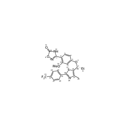 CC[C@@H](Oc1ccc(-c2noc(=O)[nH]2)c(OC)c1)c1sc(-c2ccc(C(F)(F)F)cc2)nc1C